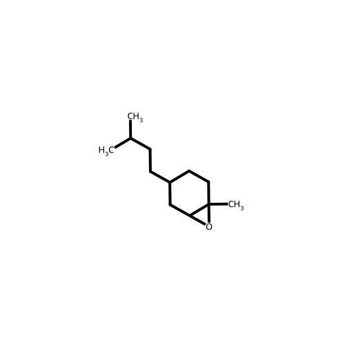 CC(C)CCC1CCC2(C)OC2C1